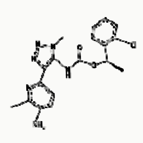 Cc1nc(-c2nnn(C)c2NC(=O)O[C@H](C)c2ccccc2Cl)ccc1N